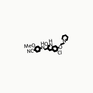 COc1cc(NCc2cc3cc(Cl)c(OCCN4CCCCC4)cc3[nH]c2=O)ccc1C#N